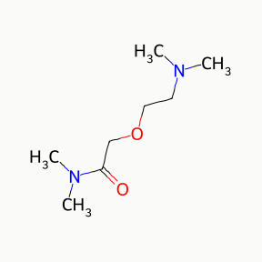 CN(C)CCOCC(=O)N(C)C